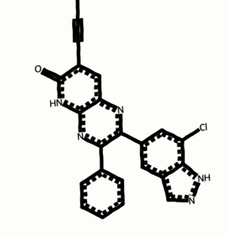 CC#Cc1cc2nc(-c3cc(Cl)c4[nH]ncc4c3)c(-c3ccccc3)nc2[nH]c1=O